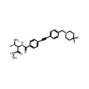 C[C@@H](N)C(NC(=O)c1ccc(C#Cc2ccc(CN3CCC(F)(F)CC3)cc2)cc1)C(=O)NO